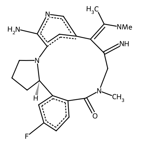 CN/C(C)=C1\C(=N)CN(C)C(=O)c2ccc(F)cc2[C@H]2CCCN2c2cc1cnc2N